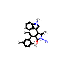 C=C1C(c2cn(C)c3ccccc23)=C(/C(=C/CC)c2cc(CC)ccc2C)C(=O)N1N